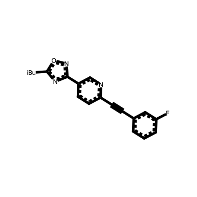 CCC(C)c1nc(-c2ccc(C#Cc3cccc(F)c3)nc2)no1